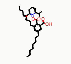 CCCCCCCCc1cc(CCCCCCCC)c(C(=O)ON2C(C(C)C)=CCC=C2C(C)C)c(C(=O)O)c1